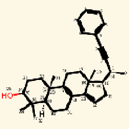 C[C@H](C#Cc1ccccc1)[C@H]1CC=C2C3=C(CC[C@@]21C)[C@@]1(C)CC[C@H](O)C(C)(C)[C@@H]1CC3